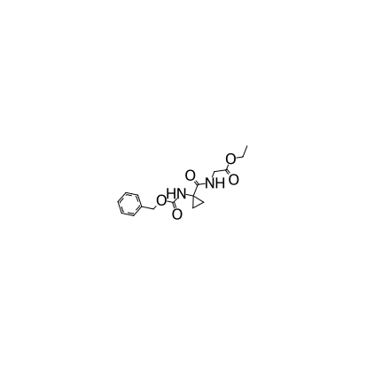 CCOC(=O)CNC(=O)C1(NC(=O)OCc2ccccc2)CC1